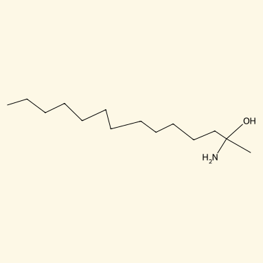 CCCCCCCCCCCCC(C)(N)O